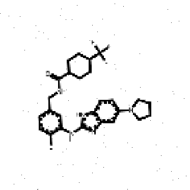 O=C(NCc1ccc(Cl)c(Nc2nc3cc(N4CCCC4)ccc3[nH]2)c1)C1CCC(C(F)(F)F)CC1